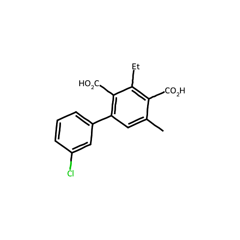 CCc1c(C(=O)O)c(C)cc(-c2cccc(Cl)c2)c1C(=O)O